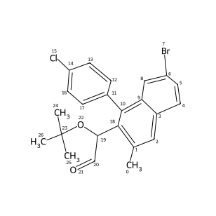 Cc1cc2ccc(Br)cc2c(-c2ccc(Cl)cc2)c1C(C=O)OC(C)(C)C